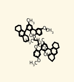 COc1ccc(OC(C)C[C@@H](C)Oc2ccc(OC)cc2-c2cc(C)cc(-c3c4c(cc5c3CCCC5)CCCC4)c2O)c(-c2cc(C)cc(-c3c4c(cc5c3CCCC5)CCCC4)c2O)c1